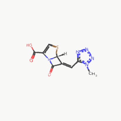 Cn1nnnc1/C=C1/C(=O)N2C(C(=O)O)=CS[C@H]12